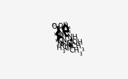 CC(C)(C)OC(O)NCC1(n2c(C(=O)O)cc3cnc(Cl)nc32)CCCC1